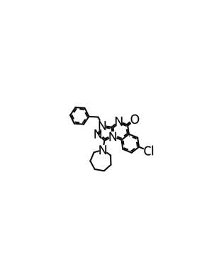 O=c1nc2n(Cc3ccccc3)nc(N3CCCCCC3)n2c2ccc(Cl)cc12